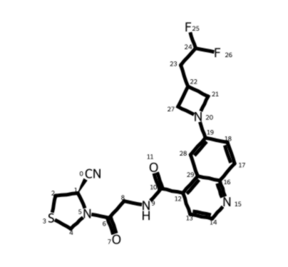 N#C[C@@H]1CSCN1C(=O)CNC(=O)c1ccnc2ccc(N3CC(CC(F)F)C3)cc12